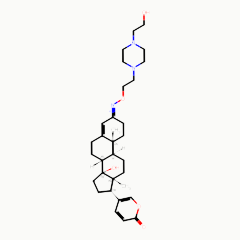 C[C@]12CC/C(=N\OCCN3CCN(CCO)CC3)C=C1CC[C@@H]1[C@@H]2CC[C@]2(C)[C@@H](c3ccc(=O)oc3)CC[C@]12O